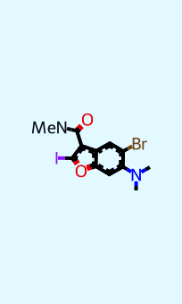 CNC(=O)c1c(I)oc2cc(N(C)C)c(Br)cc12